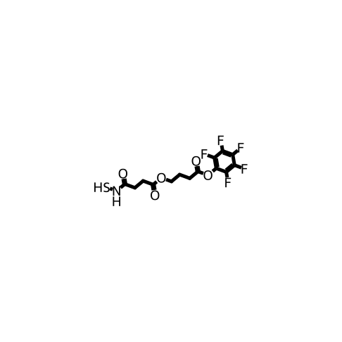 O=C(CCC(=O)OCCCC(=O)Oc1c(F)c(F)c(F)c(F)c1F)NS